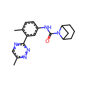 Cc1cnc(-c2cc(NC(=O)N3C4CCCC3C4)ccc2C)nn1